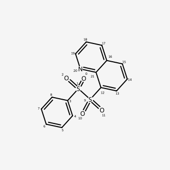 O=S(=O)(c1ccccc1)S(=O)(=O)c1cccc2cccnc12